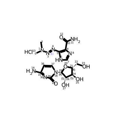 CN(C)/N=N/c1[nH]cnc1C(N)=O.Cl.Nc1ccn([C@@H]2O[C@H](CO)[C@@H](O)[C@@H]2O)c(=O)n1